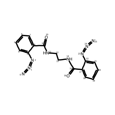 [N-]=[N+]=Nc1ccccc1C(=O)NCCNC(=O)c1ccccc1N=[N+]=[N-]